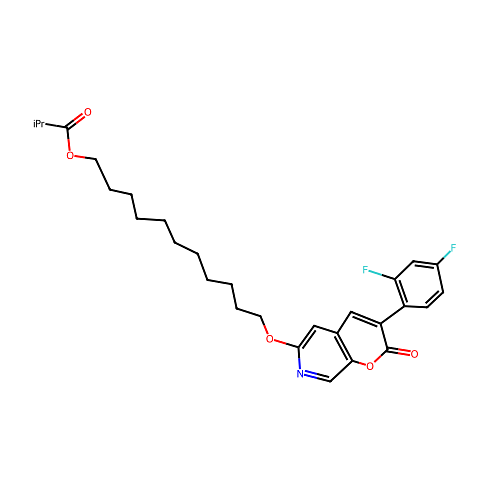 CC(C)C(=O)OCCCCCCCCCCCOc1cc2cc(-c3ccc(F)cc3F)c(=O)oc2cn1